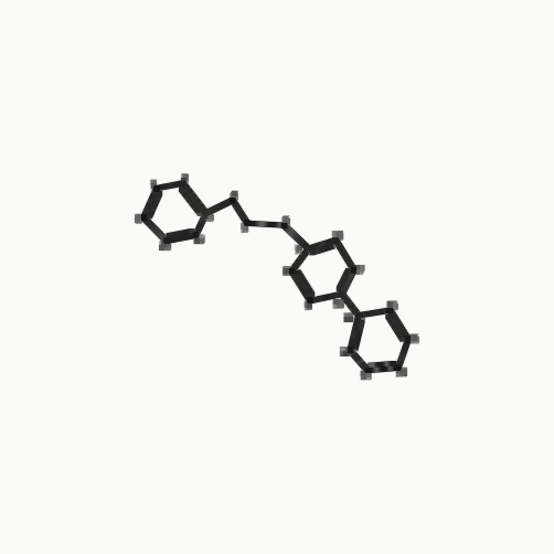 c1ccc(CCCc2ccc(-c3ccccc3)cc2)cc1